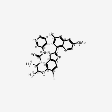 COc1cnc2c(-c3nc4cc(F)c(O[C@@H](C)[C@@H](C)OC(=O)Nc5cccnc5)cc4s3)cc(Cl)cc2c1